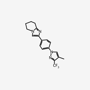 Cc1cn(-c2ccc(-c3cn4c(n3)CCCC4)cc2)nc1C(F)(F)F